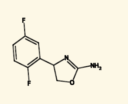 NC1=NC(c2cc(F)ccc2F)CO1